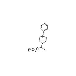 CCOC(=O)C(C)C1CCN(c2ccccc2)CC1